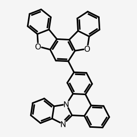 c1ccc2c(c1)nc1c3ccccc3c3ccc(-c4cc5oc6ccccc6c5c5c4oc4ccccc45)cc3n21